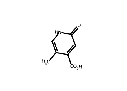 Cc1c[nH]c(=O)cc1C(=O)O